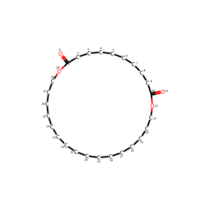 O=C1CCCCCCCCC(=O)OCCCCCCCCCCCCCCCCO1